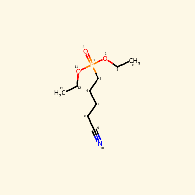 CCOP(=O)(CCCCC#N)OCC